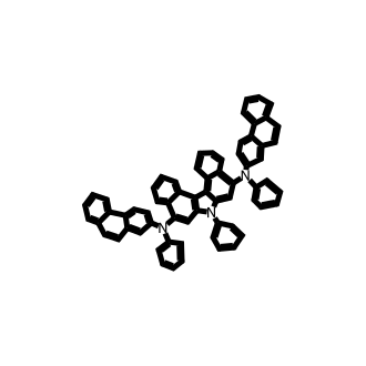 c1ccc(N(c2ccc3c(ccc4ccccc43)c2)c2cc3c(c4ccccc24)c2c4ccccc4c(N(c4ccccc4)c4ccc5c(ccc6ccccc65)c4)cc2n3-c2ccccc2)cc1